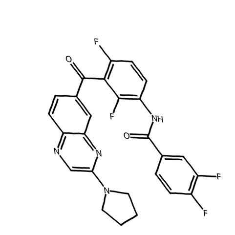 O=C(Nc1ccc(F)c(C(=O)c2ccc3ncc(N4CCCC4)nc3c2)c1F)c1ccc(F)c(F)c1